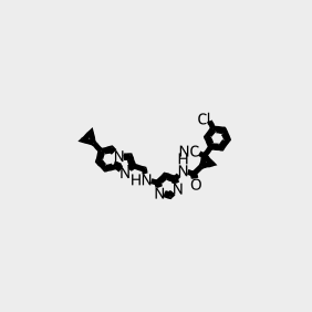 N#CC1(c2cccc(Cl)c2)CC1C(=O)Nc1cc(NCc2cn3cc(C4CC4)ccc3n2)ncn1